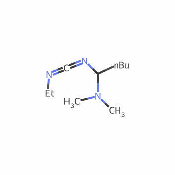 CCCC[C](N=C=NCC)N(C)C